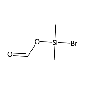 C[Si](C)(Br)OC=O